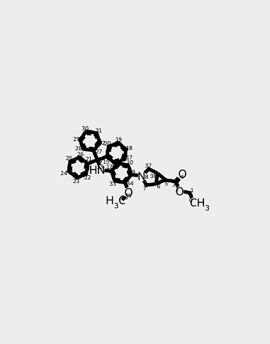 CCOC(=O)C1C2CN(c3ccc(NC(c4ccccc4)(c4ccccc4)c4ccccc4)cc3OC)CC21